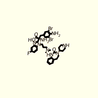 CN(C)CCCn1c([C@](N)(Cc2cc(Br)c(N)c(Br)c2)C(=O)O)nc2cc(F)ccc21.O=C1Nc2ccccc2CCN1C1CCNCC1